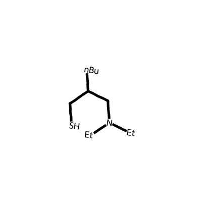 CCCCC(CS)CN(CC)CC